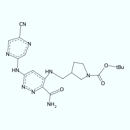 CC(C)(C)OC(=O)N1CCC(CNc2cc(Nc3cnc(C#N)cn3)nnc2C(N)=O)C1